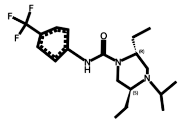 CC[C@@H]1CN(C(C)C)[C@@H](CC)CN1C(=O)Nc1ccc(C(F)(F)F)cc1